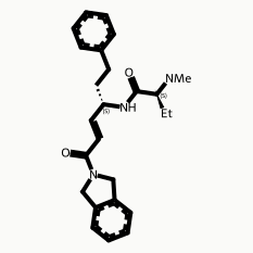 CC[C@H](NC)C(=O)N[C@H](C=CC(=O)N1Cc2ccccc2C1)CCc1ccccc1